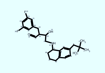 CC(C)(C)Cc1ccc2c(c1)C(NCC(O)C(C=O)Cc1cc(F)cc(F)c1)CCC2